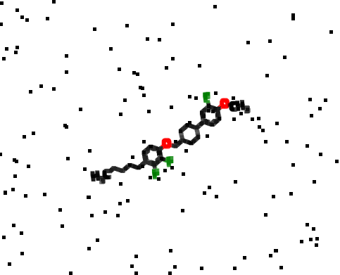 CCCCCc1ccc(OCC2CCC(c3ccc(OC)c(F)c3)CC2)c(F)c1F